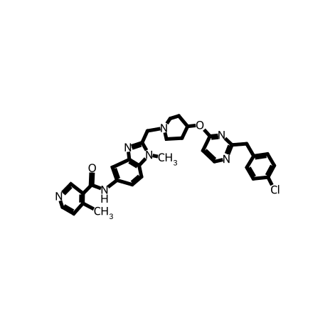 Cc1ccncc1C(=O)Nc1ccc2c(c1)nc(CN1CCC(Oc3ccnc(Cc4ccc(Cl)cc4)n3)CC1)n2C